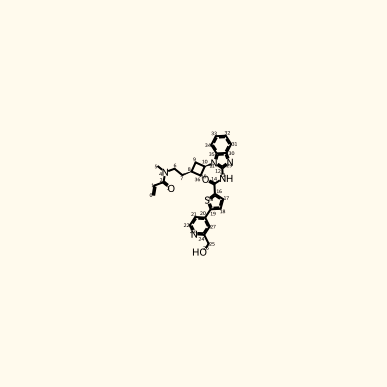 C=CC(=O)N(C)CC[C@H]1C[C@@H](n2c(NC(=O)c3ccc(-c4ccnc(CO)c4)s3)nc3ccccc32)C1